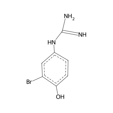 N=C(N)Nc1ccc(O)c(Br)c1